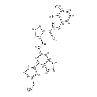 NCc1cccc(-c2cc(OC[C@H]3CCC[C@@H]3C(=O)NCc3cccc(Cl)c3F)cc3ccoc23)c1